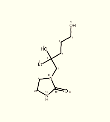 CCC(O)(CCCO)CN1CCNC1=O